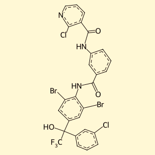 O=C(Nc1c(Br)cc(C(O)(c2cccc(Cl)c2)C(F)(F)F)cc1Br)c1cccc(NC(=O)c2cccnc2Cl)c1